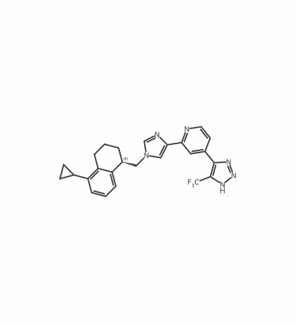 FC(F)(F)c1[nH]nnc1-c1ccnc(-c2cn(C[C@@H]3CCCc4c(C5CC5)cccc43)cn2)c1